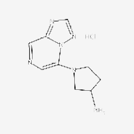 Cl.NC1CCN(c2cncc3ncnn23)C1